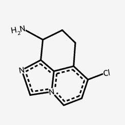 NC1CCc2c(Cl)ccn3cnc1c23